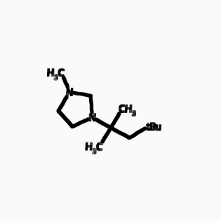 CN1CCN(C(C)(C)CC(C)(C)C)C1